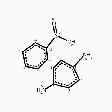 Nc1ccc(N)cc1.O=S(O)c1ccccc1